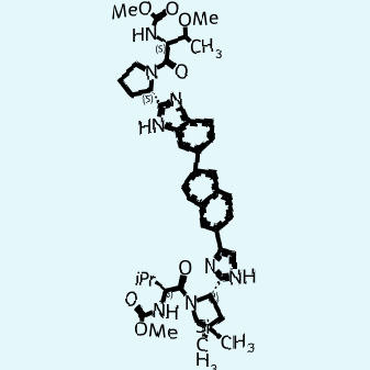 COC(=O)N[C@H](C(=O)N1C[Si](C)(C)C[C@H]1c1nc(-c2ccc3cc(-c4ccc5nc([C@@H]6CCCN6C(=O)[C@@H](NC(=O)OC)C(C)OC)[nH]c5c4)ccc3c2)c[nH]1)C(C)C